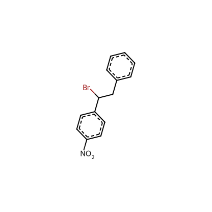 O=[N+]([O-])c1ccc(C(Br)Cc2ccccc2)cc1